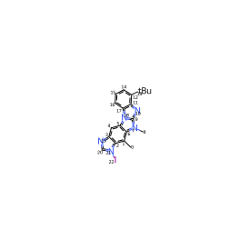 Cc1c2c(cc3c1n(C)c1nc4c(C(C)(C)C)cccc4n31)ncn2I